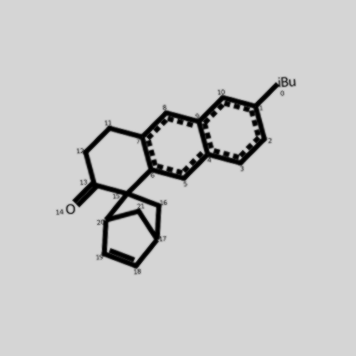 CCC(C)c1ccc2cc3c(cc2c1)CCC(=O)C31CC2C=CC1C2